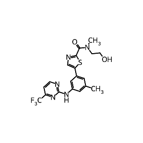 Cc1cc(Nc2nccc(C(F)(F)F)n2)cc(-c2cnc(C(=O)N(C)CCO)s2)c1